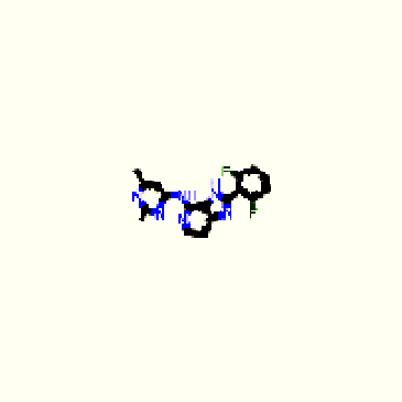 Cc1cc(Nc2nccc3nc(-c4c(F)cccc4F)[nH]c23)nc(C)n1